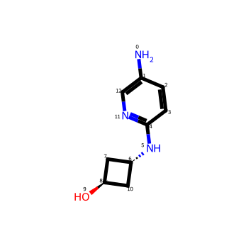 Nc1ccc(N[C@H]2C[C@H](O)C2)nc1